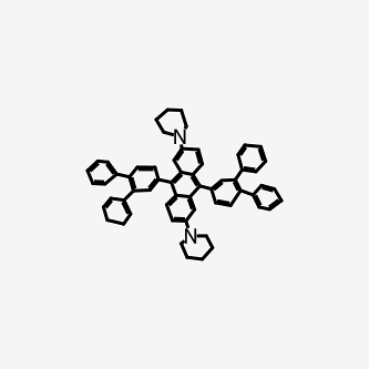 C1=CC(c2cc(-c3c4ccc(N5CCCCC5)cc4c(-c4ccc(-c5ccccc5)c(-c5ccccc5)c4)c4ccc(N5CCCCC5)cc34)ccc2-c2ccccc2)=CCC1